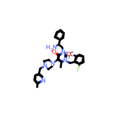 Cc1ccc(CN2CCN(c3c(C)n(Cc4c(F)cccc4C(F)(F)F)c(=O)n(CC(N)c4ccccc4)c3=O)CC2)cn1